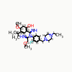 CCN1CCN(Cc2ccc(N(C(=N)COC)C(=N)C3=C(O)CC(OC)C(C(C)C)=C3)c(F)c2)CC1